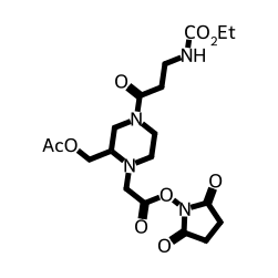 CCOC(=O)NCCC(=O)N1CCN(CC(=O)ON2C(=O)CCC2=O)C(COC(C)=O)C1